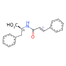 O=C(/C=C/c1ccccc1)N[C@@H](Cc1ccccc1)C(=O)O